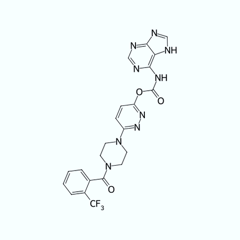 O=C(Nc1ncnc2nc[nH]c12)Oc1ccc(N2CCN(C(=O)c3ccccc3C(F)(F)F)CC2)nn1